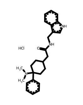 CN(C)C1(c2ccccc2)CCC(CC(=O)NCc2c[nH]c3ccccc23)CC1.Cl